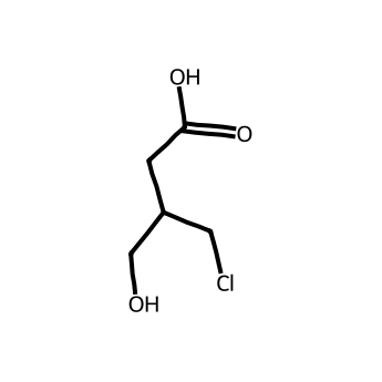 O=C(O)CC(CO)CCl